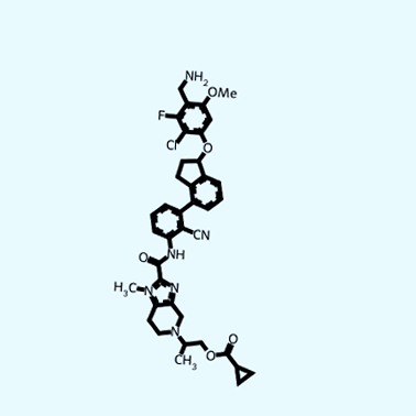 COc1cc(OC2CCc3c(-c4cccc(NC(=O)c5nc6c(n5C)CCN(C(C)COC(=O)C5CC5)C6)c4C#N)cccc32)c(Cl)c(F)c1CN